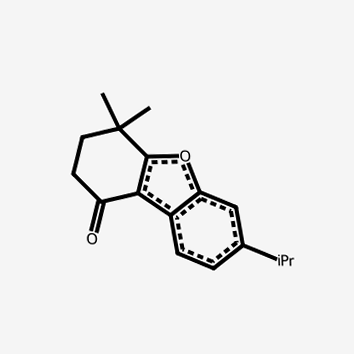 CC(C)c1ccc2c3c(oc2c1)C(C)(C)CCC3=O